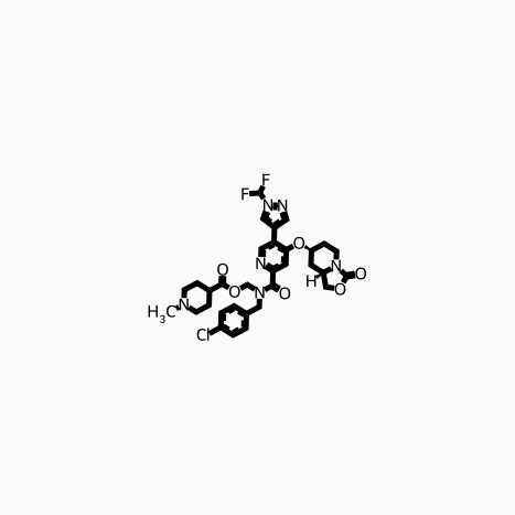 CN1CCC(C(=O)OCN(Cc2ccc(Cl)cc2)C(=O)c2cc(O[C@H]3CCN4C(=O)OC[C@@H]4C3)c(-c3cnn(C(F)F)c3)cn2)CC1